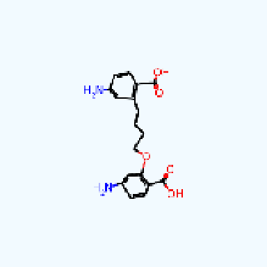 Nc1ccc(C(=O)O)c(CCCCOc2cc(N)ccc2C(=O)O)c1